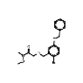 CON(C)C(=O)COCc1cc(OCc2ccccc2)ccc1Br